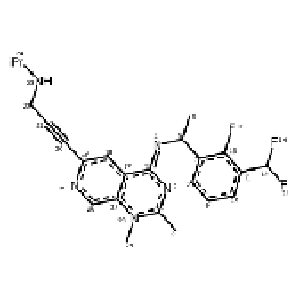 Cc1nc(=NC(C)c2cccc(C(F)F)c2F)c2cc(C#CCNC(C)C)ncc2n1C